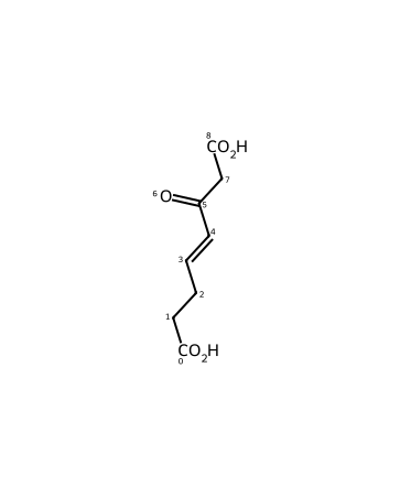 O=C(O)CCC=CC(=O)CC(=O)O